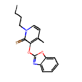 CCCCn1ccc(C)c(Oc2nc3ccccc3o2)c1=S